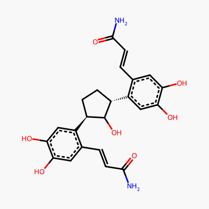 NC(=O)/C=C/c1cc(O)c(O)cc1[C@H]1CC[C@H](c2cc(O)c(O)cc2/C=C/C(N)=O)C1O